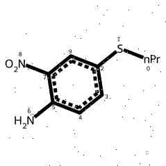 CCCSc1ccc(N)c([N+](=O)[O-])c1